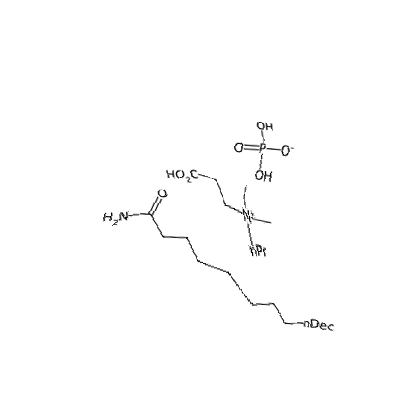 CCCCCCCCCCCCCCCCCC(N)=O.CCC[N+](C)(C)CCC(=O)O.O=P([O-])(O)O